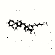 CCCCOc1nc(N)c2ncc(Cc3cnc(N4CCCC[C@@H]4C)c(C)c3)n2n1